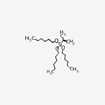 C=C(C)[Si](OCCCCCC)(OCCCCCC)OCCCCCC